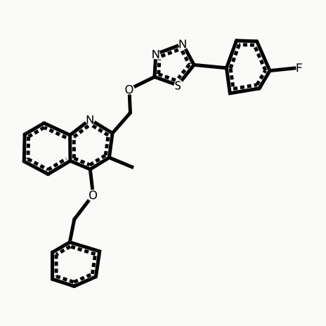 Cc1c(COc2nnc(-c3ccc(F)cc3)s2)nc2ccccc2c1OCc1ccccc1